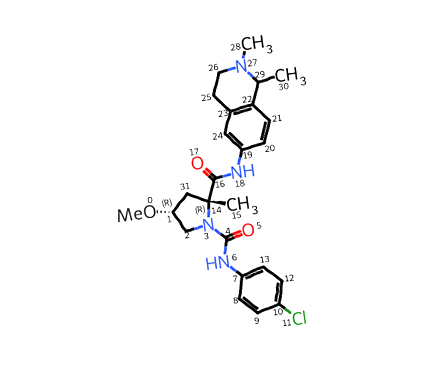 CO[C@H]1CN(C(=O)Nc2ccc(Cl)cc2)[C@@](C)(C(=O)Nc2ccc3c(c2)CCN(C)C3C)C1